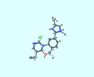 COc1cnc(Cl)nc1O[C@@H](C)c1ccc(-c2nc(C(F)(F)F)cn2C)cc1